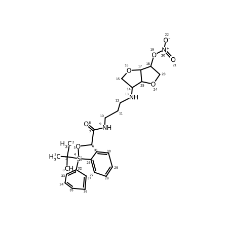 CC(C)(C)[Si](OCC(=O)NCCCNC1COC2C(O[N+](=O)[O-])COC12)(c1ccccc1)c1ccccc1